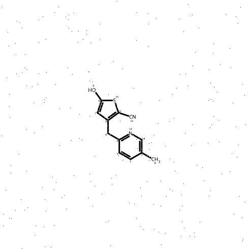 Cc1ccc(Cc2cc(O)sc2C#N)nc1